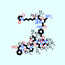 CC[C@H](C)[C@@H]([C@@H](CC(=O)N1CCC[C@H]1[C@H](OC)[C@@H](C)C(=O)N[C@H](C)[C@@H](O)c1ccccc1)OC)N(C)C(=O)[C@@H](NC(=O)[C@H](C(C)C)N(C)C(=O)OCc1ccc(NC(=O)[C@H](CCCN)NC(=O)[C@@H](NC(=O)CCCCCN2C(=O)C=CC2=O)C(C)C)cc1)C(C)C